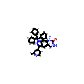 Cc1cc(-c2nn(C(c3ccccc3)(c3ccccc3)c3ccccc3)c3cc4c(cc23)CNC(=O)N4)ccn1